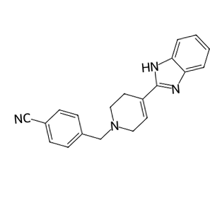 N#Cc1ccc(CN2CC=C(c3nc4ccccc4[nH]3)CC2)cc1